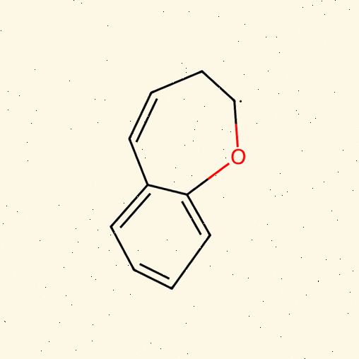 [CH]1CC=Cc2ccccc2O1